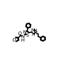 O=C(Nc1nc(-c2ccccc2)c(-c2nnn(CCc3ccccc3)n2)s1)c1ccoc1